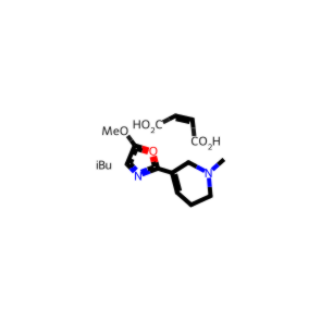 CC[C@H](C)c1nc(C2=CCCN(C)C2)oc1OC.O=C(O)/C=C\C(=O)O